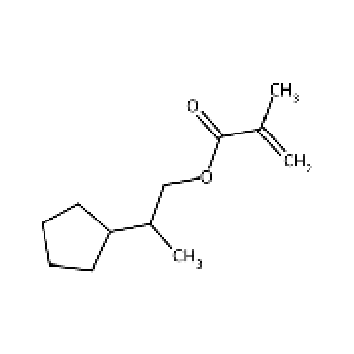 C=C(C)C(=O)OCC(C)C1CCCC1